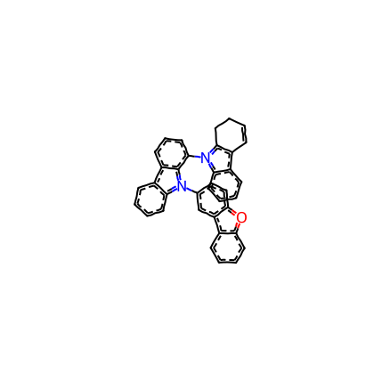 C1=Cc2c(n(-c3cccc4c5ccccc5n(-c5ccc6oc7ccccc7c6c5)c34)c3ccccc23)CC1